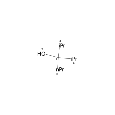 CCCC(O)(C(C)C)C(C)C